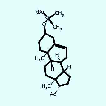 CC(=O)[C@H]1CC[C@H]2[C@@H]3CC=C4CC(O[Si](C)(C)C(C)(C)C)CC[C@]4(C)[C@H]3CC[C@]12C